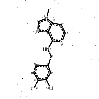 Cn1cnc2c(NCc3ccc(Cl)c(Cl)c3)nccc21